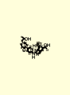 CC(O)CN1CCC(=O)N(c2ccc(Nc3ncc4cc(C(C)O)nc(NC(C)C)c4n3)nc2)CC1